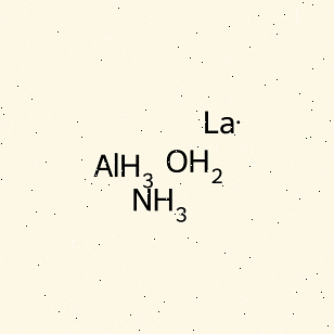 N.O.[AlH3].[La]